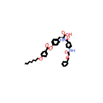 CCCCCCCOc1ccc(C(=O)Oc2ccc(C[C@H](NC(=O)c3ccc(NC(=O)COCc4ccccc4)cc3)C(=O)O)cc2)cc1